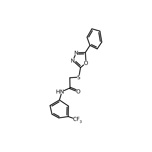 O=C(CSc1nnc(-c2ccccc2)o1)Nc1cccc(C(F)(F)F)c1